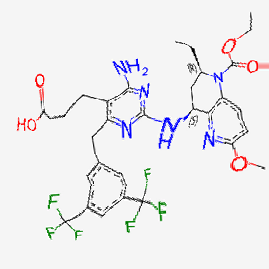 CCOC(=O)N1c2ccc(OC)nc2[C@@H](Nc2nc(N)c(CCC(=O)O)c(Cc3cc(C(F)(F)F)cc(C(F)(F)F)c3)n2)C[C@H]1CC